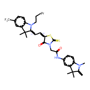 C=C1N(C)c2ccc(NC(=O)CN3C(=O)/C(=C\C=C4/N(CCC(C)C)c5ccc(C(F)(F)F)cc5C4(C)C)SC3=S)cc2C1(C)C